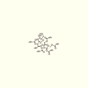 CCCC(=O)OC[C@H]1O[C@@](COC(=O)CCC)(O[C@H]2O[C@H](CO)[C@@H](O)[C@H](OC(=O)CCC)[C@H]2OC(=O)CCC)[C@@H](OC(=O)CCC)[C@@H]1OC(=O)CCC